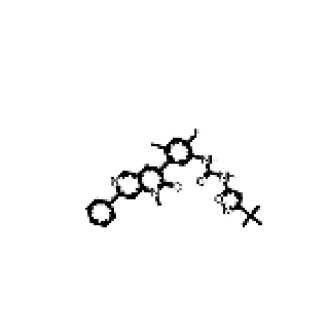 Cc1cc(F)c(NC(=O)Nc2cc(C(C)(C)C)no2)cc1-c1cc2cnc(-c3ccccc3)cc2n(C)c1=O